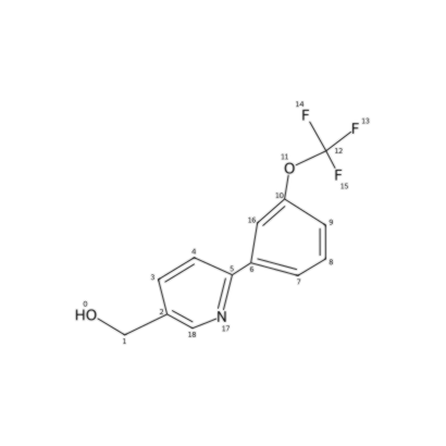 OCc1ccc(-c2cccc(OC(F)(F)F)c2)nc1